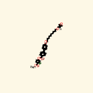 CC[C@@H](C)COC(=O)c1ccc(OC(=O)c2ccc(-c3ccc(OCCCCCCCCCCOCC4(C)COC4)cc3)cc2)cc1F